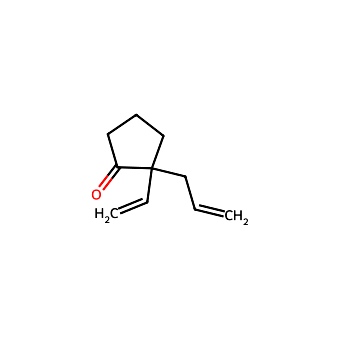 C=CCC1(C=C)CCCC1=O